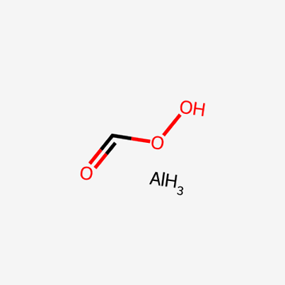 O=COO.[AlH3]